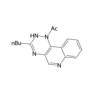 CCCCC1=Nc2cnc3ccccc3c2N(C(C)=O)N1